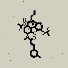 C=CCN1CC[C@]23c4c5ccc(OC(C)=O)c4OC2C(N(C)C(=O)/C=C/c2cccc(C)c2)CC[C@@]3(OC(C)=O)[C@H]1C5